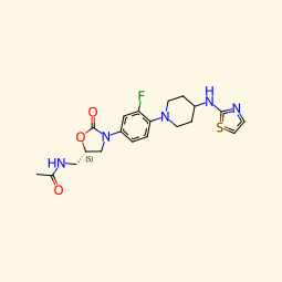 CC(=O)NC[C@H]1CN(c2ccc(N3CCC(Nc4nccs4)CC3)c(F)c2)C(=O)O1